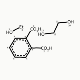 CCO.O=C(O)c1ccccc1C(=O)O.OCCO